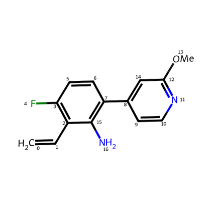 C=Cc1c(F)ccc(-c2ccnc(OC)c2)c1N